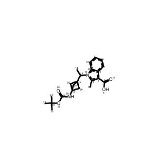 Cc1c(C(=O)O)c2ccccc2n1C(C)C12CC(NC(=O)OC(C)(C)C)(C1)C2